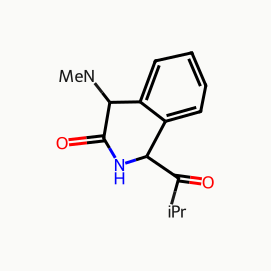 CNC1C(=O)NC(C(=O)C(C)C)c2ccccc21